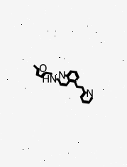 Cc1ccc(CNc2ccc3c(CCc4ccccn4)cccc3n2)o1